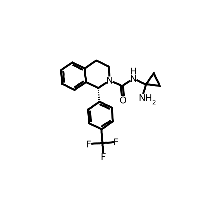 NC1(NC(=O)N2CCc3ccccc3[C@H]2c2ccc(C(F)(F)F)cc2)CC1